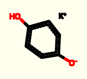 [K+].[O-]c1ccc(O)cc1